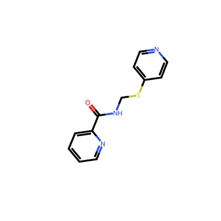 O=C(NCSc1ccncc1)c1ccccn1